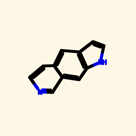 c1cc2cc3cc[nH]c3cc2cn1